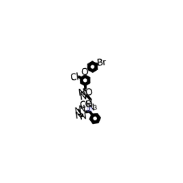 Cn1nnnc1/C(=N\OCc1nnc(-c2ccc(Oc3ccc(Br)cc3)c(Cl)c2)o1)c1ccccc1